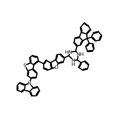 c1ccc(C2NC(c3ccc4c(c3)C(c3ccccc3)(c3ccccc3)c3ccccc3-4)NC(c3ccc4c(c3)oc3ccc(-c5cccc6sc7cc(-n8c9ccccc9c9ccccc98)ccc7c56)cc34)N2)cc1